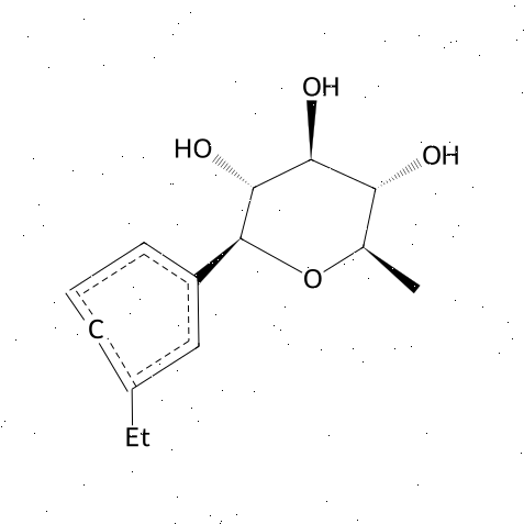 CCc1cccc([C@@H]2O[C@H](C)[C@@H](O)[C@H](O)[C@H]2O)c1